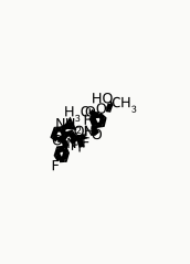 COc1cc(C(=O)NCC(O)(c2cc3c(c(-c4ccc(F)cc4)n2)OCCC3(N)C2CC2)C(F)(F)F)ccc1OCC(C)O